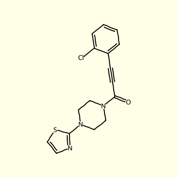 O=C(C#Cc1ccccc1Cl)N1CCN(c2nccs2)CC1